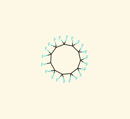 F[C]1C(F)(F)C(F)(F)C(F)(F)C(F)(F)C(F)(F)C(F)(F)C(F)(F)C(F)(F)C(F)(F)C1(F)F